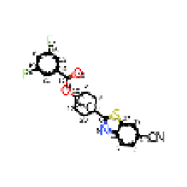 N#Cc1ccc2nc(C34CCC(OC(=O)c5cc(F)cc(F)c5)(CC3)CC4)sc2c1